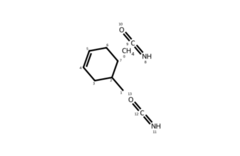 C.CC1CC=CCC1.N=C=O.N=C=O